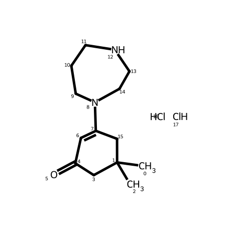 CC1(C)CC(=O)C=C(N2CCCNCC2)C1.Cl.Cl